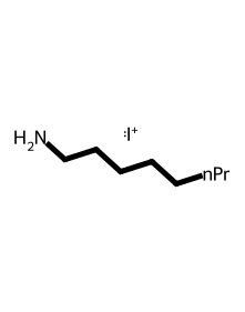 CCCCCCCCN.[I+]